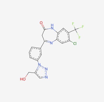 O=C1CC(c2cccc(-n3nncc3CO)c2)=Nc2cc(Cl)c(C(F)(F)F)cc2N1